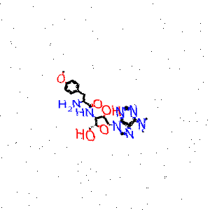 COc1ccc(CC(N)C(=O)N[C@@H]2C(O)[C@H](n3cnc4c(N(C)C)ncnc43)O[C@@H]2CO)cc1